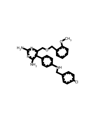 COc1ccccc1COCc1nc(N)nc(N)c1-c1ccc(NCc2ccc(Cl)cc2)cc1